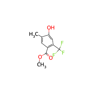 COC(=O)c1cc(C)c(O)cc1C(F)(F)F